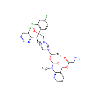 CC(OC(=O)N(C)c1ncccc1COC(=O)CN)[n+]1cnn(CC(O)(c2ccc(F)cc2F)[C@@H](C)c2ncncc2F)c1